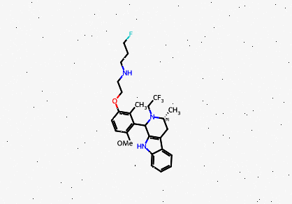 COc1ccc(OCCNCCCF)c(C)c1C1c2[nH]c3ccccc3c2C[C@@H](C)N1CC(F)(F)F